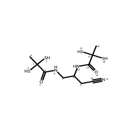 CC(S)(S)C(=O)NCC(CC#N)NC(=O)C(C)(S)S